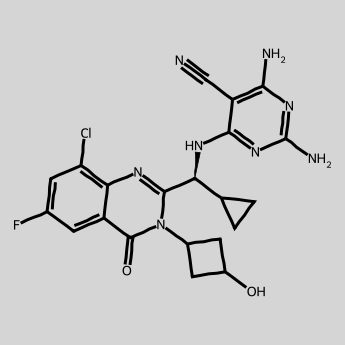 N#Cc1c(N)nc(N)nc1N[C@H](c1nc2c(Cl)cc(F)cc2c(=O)n1C1CC(O)C1)C1CC1